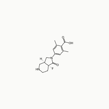 Cc1cc(N2C[C@@H]3CNCC[C@]3(F)C2=O)cc(C)c1C(=O)O